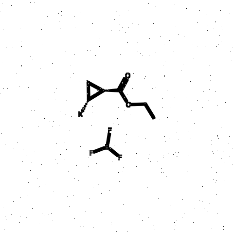 CCOC(=O)[C@@H]1C[C@H]1[K].FB(F)F